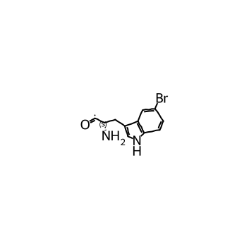 N[C@H]([C]=O)Cc1c[nH]c2ccc(Br)cc12